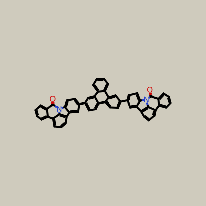 O=c1c2ccccc2c2cccc3c4cc(-c5ccc6c7ccc(-c8ccc9c(c8)c8cccc%10c%11ccccc%11c(=O)n9c%108)cc7c7ccccc7c6c5)ccc4n1c23